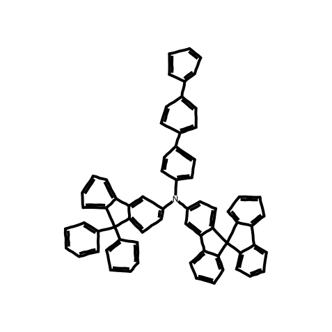 c1ccc(-c2ccc(-c3ccc(N(c4ccc5c(c4)-c4ccccc4C5(c4ccccc4)c4ccccc4)c4ccc5c(c4)-c4ccccc4C54c5ccccc5-c5ccccc54)cc3)cc2)cc1